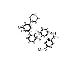 COc1cnc(C(C)Nc2ccc3c(c2)Sc2cccc(-c4cc(N5CCOCC5)cc(=O)[nH]4)c2S3)cn1